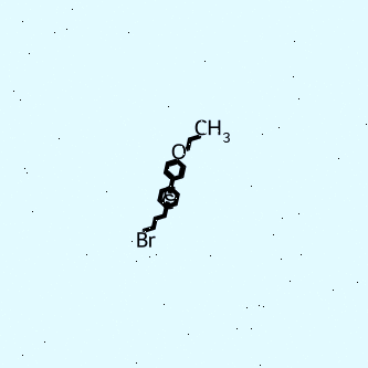 CCCCOc1ccc(C23CCC(CCCCBr)(CC2)CC3)cc1